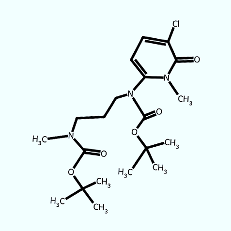 CN(CCCN(C(=O)OC(C)(C)C)c1ccc(Cl)c(=O)n1C)C(=O)OC(C)(C)C